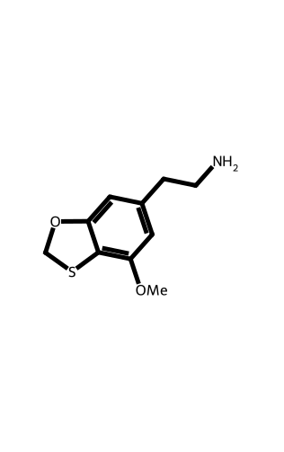 COc1cc(CCN)cc2c1SCO2